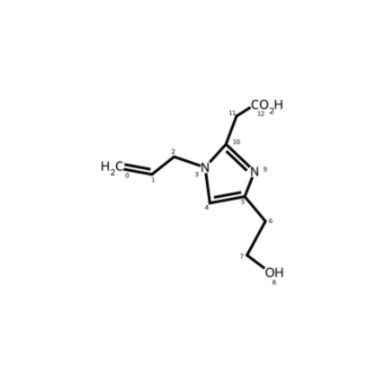 C=CCn1cc(CCO)nc1CC(=O)O